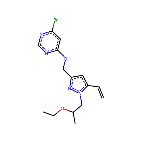 C=Cc1cc(CNc2cc(Br)ncn2)nn1CC(C)OCC